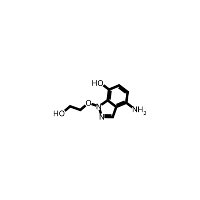 Nc1ccc(O)c2c1cnn2OCCO